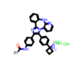 CC(C)C(=O)Nc1ccc(-c2nc3n(c2-c2ccc(C4(N)CCC4)cc2)-c2cccnc2Nc2ccccc2-3)cc1.Cl.Cl.Cl